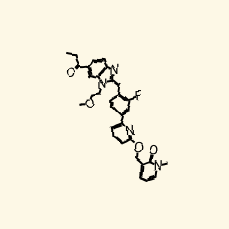 CCC(=O)c1ccc2nc(Cc3ccc(-c4cccc(OCc5cccn(C)c5=O)n4)cc3F)n(CCOC)c2c1